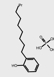 CC(C)CCCCCCCc1ccccc1O.O=P(O)(O)O